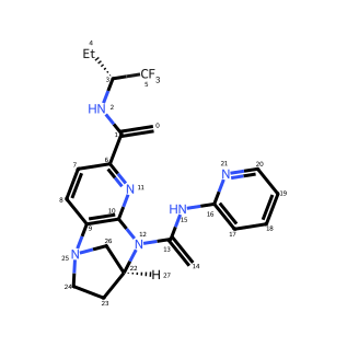 C=C(N[C@H](CC)C(F)(F)F)c1ccc2c(n1)N(C(=C)Nc1ccccn1)[C@H]1CCN2C1